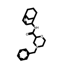 O=C(NC1C2CCCC3(C2)CC1C3)C1CN(Cc2ccccc2)CCO1